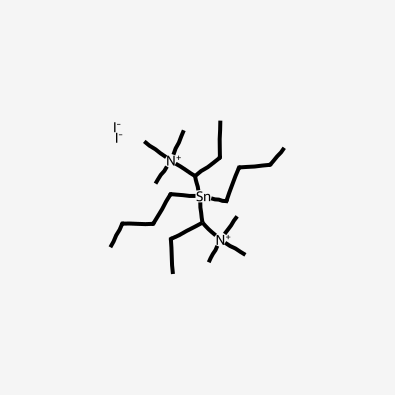 CCC[CH2][Sn]([CH2]CCC)([CH](CC)[N+](C)(C)C)[CH](CC)[N+](C)(C)C.[I-].[I-]